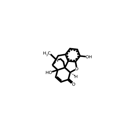 CN1CCC23c4c5ccc(O)c4O[C@H]2C(=O)C=CC3(O)C1C5